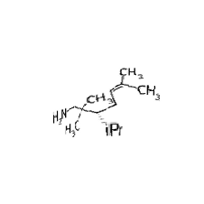 CC(C)=CC[C@H](C(C)C)C(C)(C)CN